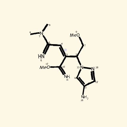 COCC(/C(=C/C(=N)N(C)C)C(=N)OC)n1cc(N)cn1